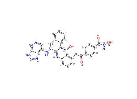 CC[C@H](Nc1ncnc2[nH]cnc12)c1nc2cccc(CC(=O)c3ccc(C(=O)NO)cc3)c2c(=O)n1-c1ccccc1